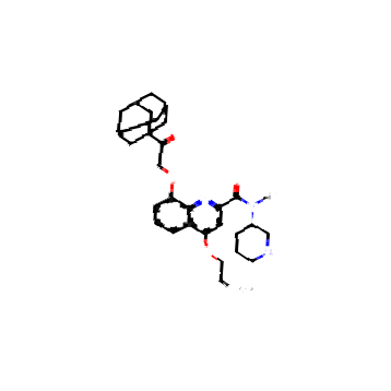 COCCOc1cc(C(=O)N(C(C)C)[C@@H]2CCCNC2)nc2c(OCC(=O)C34CC5CC(CC(C5)C3)C4)cccc12